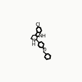 Clc1ccc2[nH]c3c(c2c1)CCNC3c1ccc(OCc2ccccc2)cc1